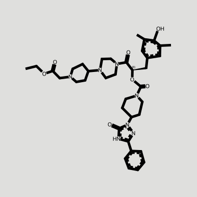 CCOC(=O)CN1CCC(N2CCN(C(=O)[C@@H](Cc3cc(C)c(O)c(C)c3)OC(=O)N3CCC(n4nc(-c5ccccc5)[nH]c4=O)CC3)CC2)CC1